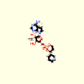 C[C@@]1(O)[C@H](O)[C@@H](COP2(=O)OCC[C@H](c3cccnc3)O2)O[C@H]1n1ccc2c(N)ncnc21